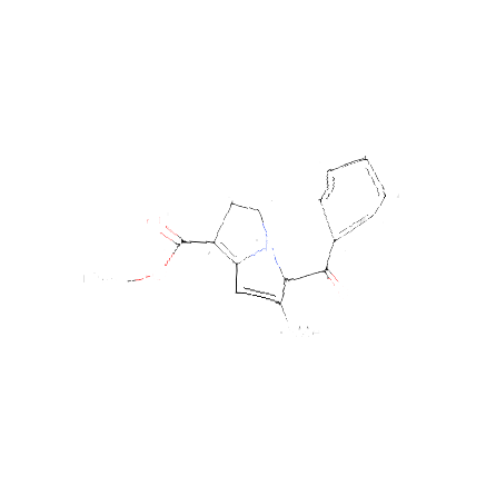 CCCCCOC(=O)C1=C2C=C(SC)C(C(=O)c3ccccc3)N2CC1